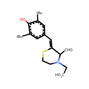 CC(C)(C)c1cc(C=C2SCCN(CC(=O)O)C2C=O)cc(C(C)(C)C)c1O